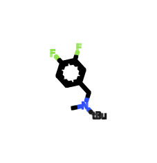 CN(Cc1ccc(F)c(F)c1)C(C)(C)C